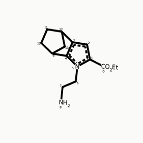 CCOC(=O)c1cc2c(n1CCN)C1CCC2C1